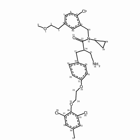 COCCc1ccc(Cl)c(CN(C(=O)C(CN)Cc2ccc(OCCOc3c(Cl)cc(C)cc3Cl)cc2)C2CC2)c1